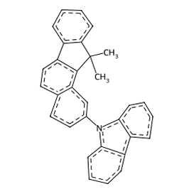 CC1(C)c2ccccc2-c2ccc3ccc(-n4c5ccccc5c5ccccc54)cc3c21